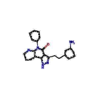 Nc1cccc(CCc2n[nH]c3c2c(=O)n(-c2ccccc2)c2ncccc32)c1